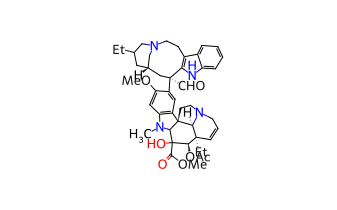 CCC1C[C@@H]2CN(CCc3c([nH]c4ccccc34)[C@@](C=O)(c3cc4c(cc3OC)N(C)C3C(O)(C(=O)OC)[C@H](OC(C)=O)[C@]5(CC)C=CCN6CC[C@]43[C@@H]65)C2)C1